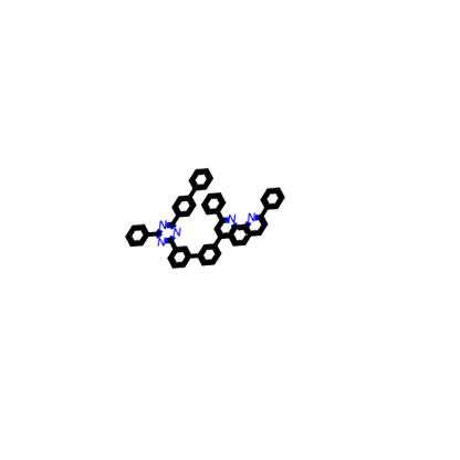 c1ccc(-c2ccc(-c3nc(-c4ccccc4)nc(-c4cccc(-c5cccc(-c6cc(-c7ccccc7)nc7c6ccc6ccc(-c8ccccc8)nc67)c5)c4)n3)cc2)cc1